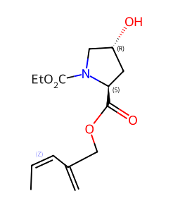 C=C(/C=C\C)COC(=O)[C@@H]1C[C@@H](O)CN1C(=O)OCC